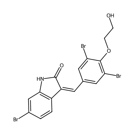 O=C1Nc2cc(Br)ccc2C1=Cc1cc(Br)c(OCCO)c(Br)c1